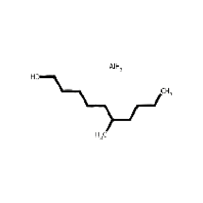 CCCCC(C)CCCCCO.[AlH3]